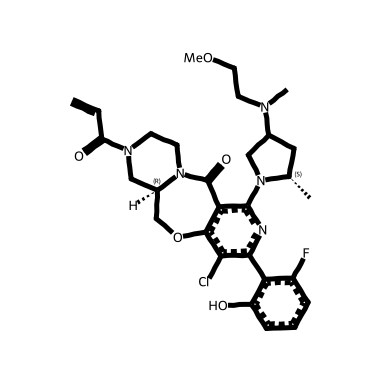 C=CC(=O)N1CCN2C(=O)c3c(N4CC(N(C)CCOC)C[C@@H]4C)nc(-c4c(O)cccc4F)c(Cl)c3OC[C@H]2C1